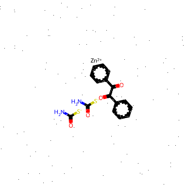 NC(=O)[S-].NC(=O)[S-].O=C(C(=O)c1ccccc1)c1ccccc1.[Zn+2]